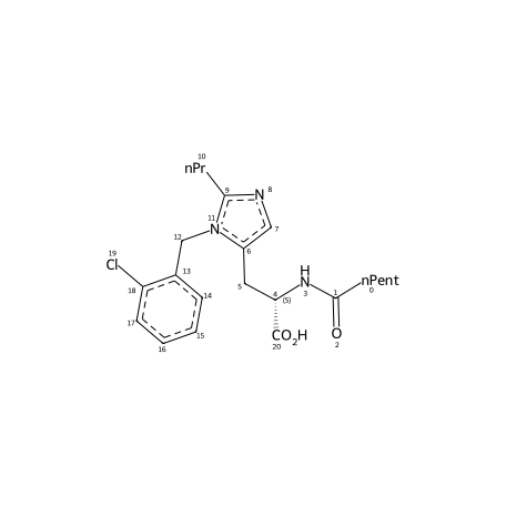 CCCCCC(=O)N[C@@H](Cc1cnc(CCC)n1Cc1ccccc1Cl)C(=O)O